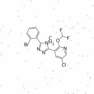 Cn1c(-c2ccccc2Br)nnc1-c1cc(Cl)cnc1OC(F)F